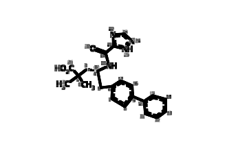 CC(C)(C[C@@H](Cc1ccc(-c2ccccc2)cc1)NC(=O)c1ncn[nH]1)C(=O)O